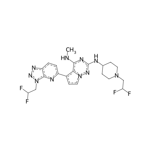 CNc1nc(NC2CCN(CC(F)F)CC2)nn2ccc(-c3ccc4nnn(CC(F)F)c4n3)c12